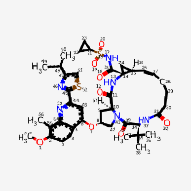 COc1ccc2c(O[C@@H]3C[C@H]4C(=O)N[C@]5(C(=O)NS(=O)(=O)C6CC6)C[C@H]5/C=C\CCCC(=O)N[C@@H](C(C)(C)C)C(=O)N4C3)cc(-c3nc(C(C)C)cs3)nc2c1C